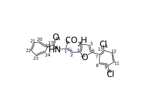 O=C(O)/C(=C\c1ccc(-c2cc(Cl)ccc2Cl)o1)NC(=O)c1ccccc1